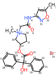 Cc1cc(NC(=O)C[N+]2(C)CCC(OC(=O)C(O)(c3ccccc3)c3ccccc3)C2)no1.[Br-]